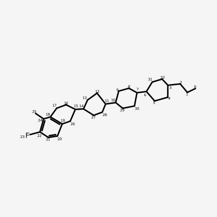 CCCC1CCC(C2CCC(C3CCC(C4CCc5c(ccc(F)c5C)C4)CC3)CC2)CC1